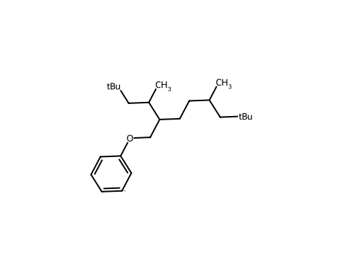 CC(CCC(COc1c[c]ccc1)C(C)CC(C)(C)C)CC(C)(C)C